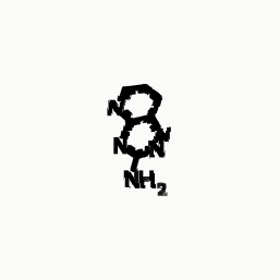 Nc1nnc2cccnc2n1